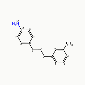 Cc1cccc(CCCc2ccc(N)cc2)c1